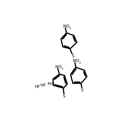 F.F.F.O=[N+]([O-])c1ccc([S])cc1.O=[N+]([O-])c1ccc([S])cc1.O=[N+]([O-])c1ccc([S])cc1